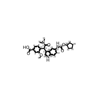 COc1cc(C(=O)O)ccc1C(C(=O)N(C)C)c1c[nH]c2ccc(NC(=O)OC3CCCC3)cc12